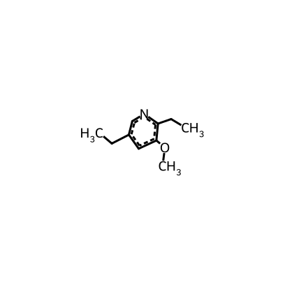 CCc1cnc(CC)c(OC)c1